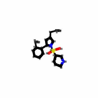 CNCc1cc(-c2ccccc2SC)n(S(=O)(=O)c2cccnc2)c1